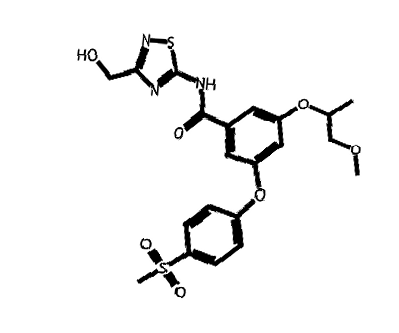 COCC(C)Oc1cc(Oc2ccc(S(C)(=O)=O)cc2)cc(C(=O)Nc2nc(CO)ns2)c1